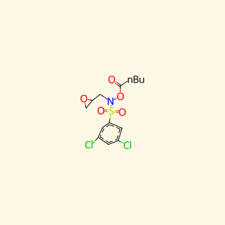 CCCCC(=O)ON(CC1CO1)S(=O)(=O)c1cc(Cl)cc(Cl)c1